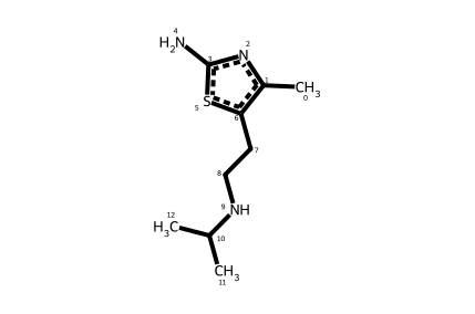 Cc1nc(N)sc1CCNC(C)C